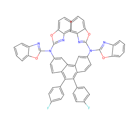 Fc1ccc(-c2c(-c3ccc(F)cc3)c3ccc(N(c4nc5ccccc5o4)c4nc5ccccc5o4)cc3c3cc(N(c4nc5ccccc5o4)c4nc5ccccc5o4)ccc23)cc1